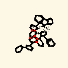 CC1(C)c2ccccc2-c2cccc(-c3cccc(N(c4ccc(-c5cccc(-c6ccccc6)c5)cc4)c4cccc(-c5ccccc5)c4-c4ccccc4-c4ccccc4)c3)c21